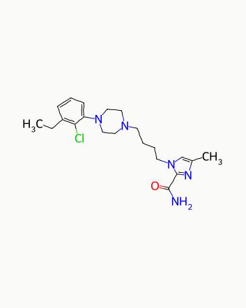 CCc1cccc(N2CCN(CCCCn3cc(C)nc3C(N)=O)CC2)c1Cl